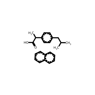 CC(C)Cc1ccc(C(C)C(=O)O)cc1.c1ccc2ccccc2c1